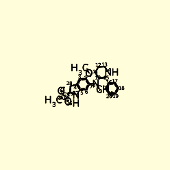 COc1cc2c(cc1N(C)[C@@H]1CCCN[C@@H]1c1ccccc1)NC(S(C)(=O)=O)C2